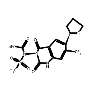 CCCC(=O)N(n1c(=O)[nH]c2cc(C(F)(F)F)c([C@H]3CCCO3)cc2c1=O)S(C)(=O)=O